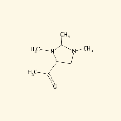 CC(=O)C1CN(C)C(C)N1C